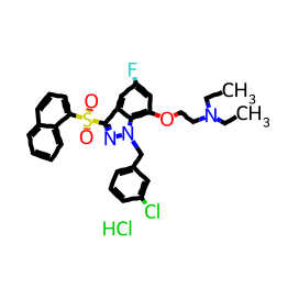 CCN(CC)CCOc1cc(F)cc2c(S(=O)(=O)c3cccc4ccccc34)nn(Cc3cccc(Cl)c3)c12.Cl